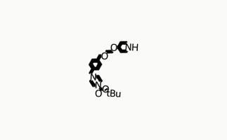 CC(C)(C)OC(=O)N1CCN(Cc2ccc(COCCOC3CCNCC3)cc2)CC1